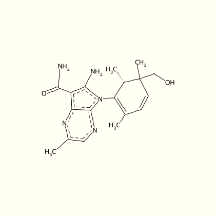 CC1=C(n2c(N)c(C(N)=O)c3nc(C)cnc32)[C@H](C)C(C)(CO)C=C1